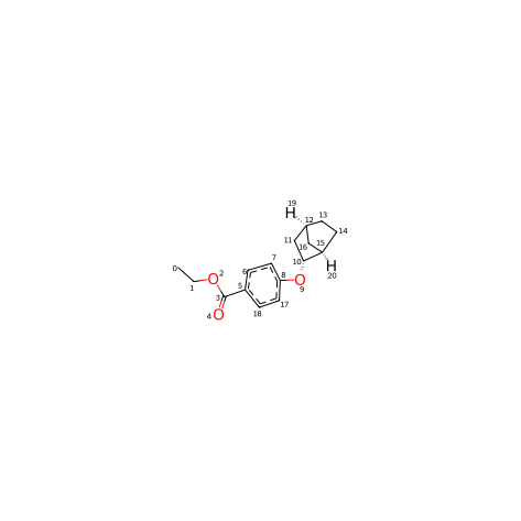 CCOC(=O)c1ccc(O[C@@H]2C[C@H]3CC[C@@H]2C3)cc1